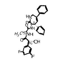 C[C@H](NC(=O)[C@H](O)c1cc(F)cc(F)c1)C(=O)N[C@@H]1C(=O)NCC(c2ccccc2)=C[C@@H]1c1ccccc1